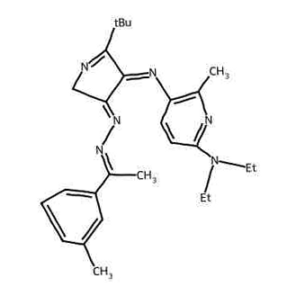 CCN(CC)c1ccc(/N=C2/C(C(C)(C)C)=NC/C2=N\N=C(/C)c2cccc(C)c2)c(C)n1